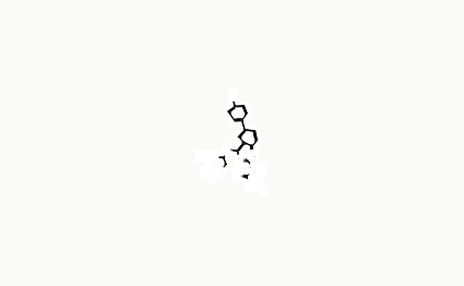 CCC(C)Oc1nc(NC(C)=O)nc2ccc(-c3ccc(F)cc3)cc12